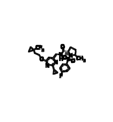 CC1CC[C@@H](C(=O)NCc2cc(OCCC3(C(F)(F)F)CC3)nc(C3CC3)n2)N1S(=O)(=O)c1ccc(F)cc1